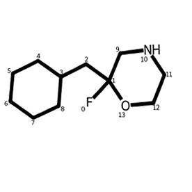 FC1(CC2CCCCC2)CNCCO1